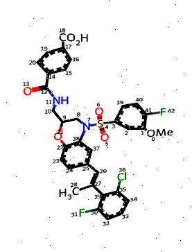 COc1cc(S(=O)(=O)N2CC(CNC(=O)c3ccc(C(=O)O)cc3)Oc3ccc(C=C(C)c4c(F)cccc4Cl)cc32)ccc1F